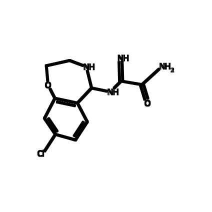 N=C(NC1NCCOc2cc(Cl)ccc21)C(N)=O